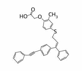 Cc1cc(SCC=C(c2ccccc2)c2ccc(C#Cc3ccccc3)cc2)ccc1OCC(=O)O